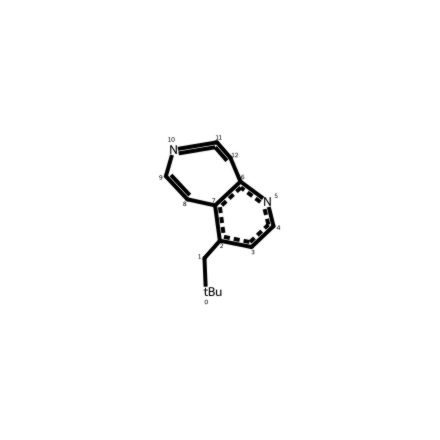 CC(C)(C)Cc1ccnc2c1C=CN=C=C2